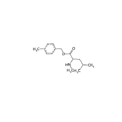 CNC(CC(C)C)C(=O)OCc1ccc(C)cc1